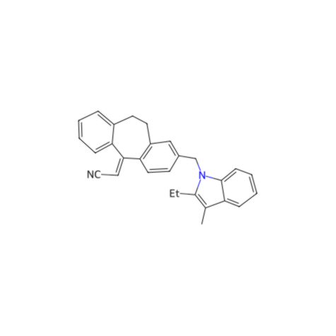 CCc1c(C)c2ccccc2n1Cc1ccc2c(c1)CCc1ccccc1C2=CC#N